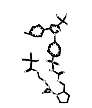 Cc1ccc(-c2cc(C(F)(F)F)nn2-c2ccc(S(=O)(=O)NC(=O)OCC3CCCN3n3on3OCOC(=O)C(C)(C)C)cc2)cc1